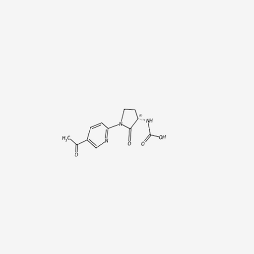 CC(=O)c1ccc(N2CC[C@H](NC(=O)O)C2=O)nc1